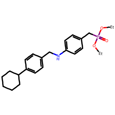 CCOP(=O)(Cc1ccc(NCc2ccc(C3CCCCC3)cc2)cc1)OCC